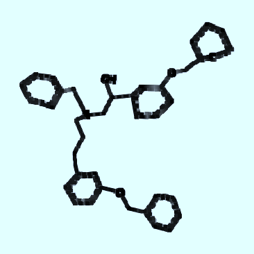 OC(CN(CCCc1cccc(OCc2ccccc2)c1)Cc1ccccc1)c1cccc(OCc2ccccc2)c1